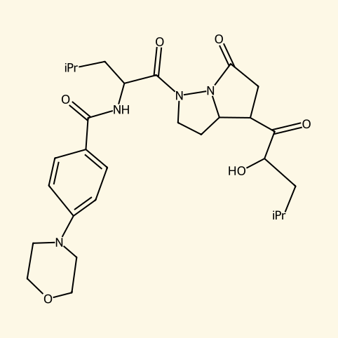 CC(C)CC(O)C(=O)C1CC(=O)N2C1CCN2C(=O)C(CC(C)C)NC(=O)c1ccc(N2CCOCC2)cc1